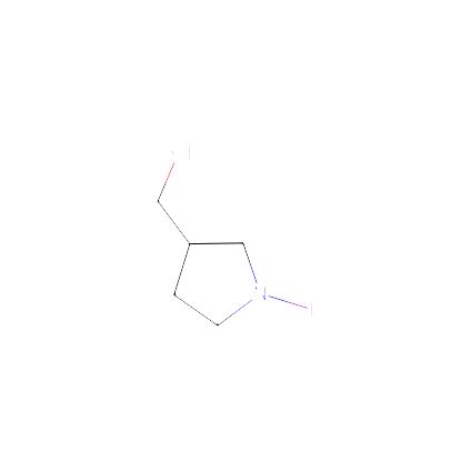 OCC1CCN(I)C1